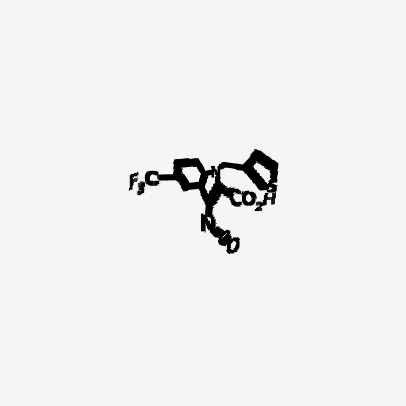 O=C=Nc1c(C(=O)O)n(Cc2ccsc2)c2ccc(C(F)(F)F)cc12